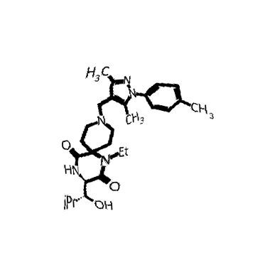 CCN1C(=O)[C@@H]([C@H](O)C(C)C)NC(=O)C12CCN(Cc1c(C)nn(-c3ccc(C)cc3)c1C)CC2